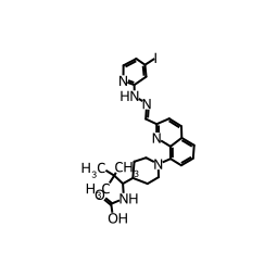 CC(C)(C)C(NC(=O)O)C1CCN(c2cccc3ccc(C=NNc4cc(I)ccn4)nc23)CC1